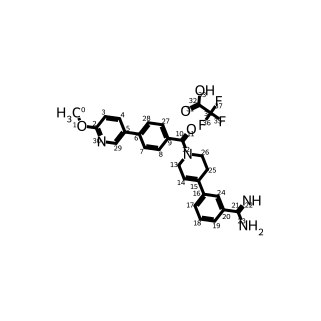 COc1ccc(-c2ccc(C(=O)N3CC=C(c4cccc(C(=N)N)c4)CC3)cc2)cn1.O=C(O)C(F)(F)F